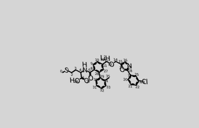 CSCCC(NC(=O)c1ccc(COCc2cnc(-c3cccc(Cl)c3)o2)cc1-c1ccccc1C)C(=O)O.[LiH]